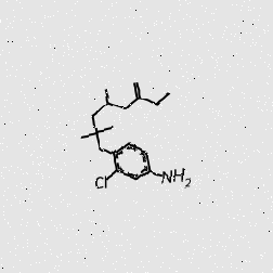 C=C(CC)CC(C)CC(C)(C)Cc1ccc(N)cc1Cl